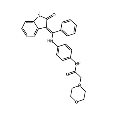 O=C(CN1CCOCC1)Nc1ccc(NC(=C2C(=O)Nc3ccccc32)c2ccccc2)cc1